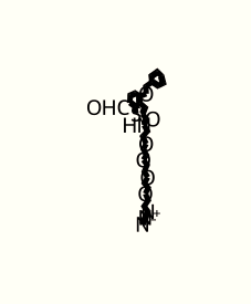 [N-]=[N+]=NCCOCCOCCOCCOCCNC(=O)c1cc2c(OCc3ccccc3)ccc(C=O)c2s1